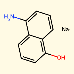 Nc1cccc2c(O)cccc12.[Na]